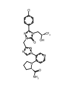 NC(=O)[C@H]1CCCN1c1ccncc1-n1cnc(Cn2nc(-c3ccc(Cl)cc3)n(C[C@H](O)C(F)(F)F)c2=O)n1